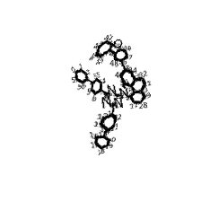 c1ccc(-c2ccc(-c3nc(-c4ccc(-c5ccccc5)cc4)nc(-n4c5cccc6ccc7cc(-c8ccc9oc%10ccccc%10c9c8)cc4c7c65)n3)cc2)cc1